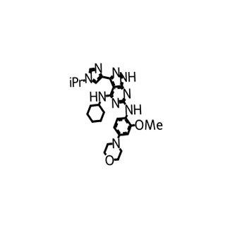 COc1cc(N2CCOCC2)ccc1Nc1nc(NC2CCCCC2)c2c(-c3cn(C(C)C)cn3)n[nH]c2n1